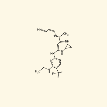 CCNc1nc(N/C(=C/C(=N)C(C)N/N=C\C=N)NC2CC2)ncc1C(F)(F)F